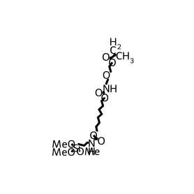 C=C(C)C(=O)OCCOCCNC(=O)OCCCCCCCCOC(=O)NCCC[Si](OC)(OC)OC